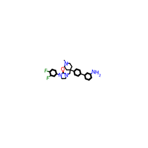 CN1CCC(CN2CCN(c3ccc(F)c(F)c3)C2=O)(c2ccc(-c3cccc(N)c3)cc2)CC1